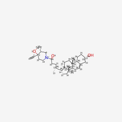 C#CC1(OC(C)C)CCN(C(=O)CC[C@@H](C)[C@H]2CC[C@H]3[C@@H]4CC=C5C[C@@H](O)CC[C@]5(C)[C@H]4CC[C@]23C)CC1